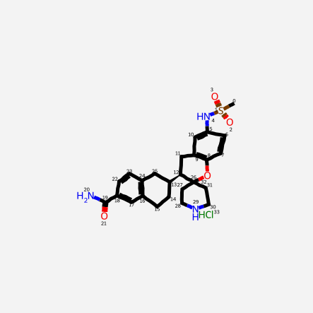 CS(=O)(=O)Nc1ccc2c(c1)C[C@H](C1CCc3cc(C(N)=O)ccc3C1)C1(CCNCC1)O2.Cl